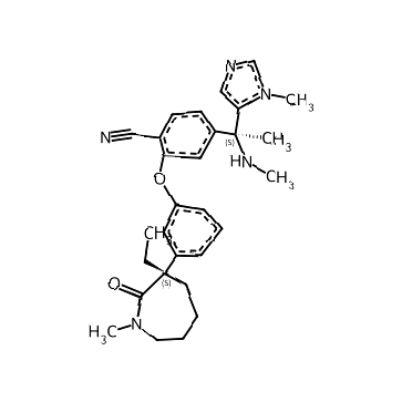 CC[C@@]1(c2cccc(Oc3cc([C@](C)(NC)c4cncn4C)ccc3C#N)c2)CCCCN(C)C1=O